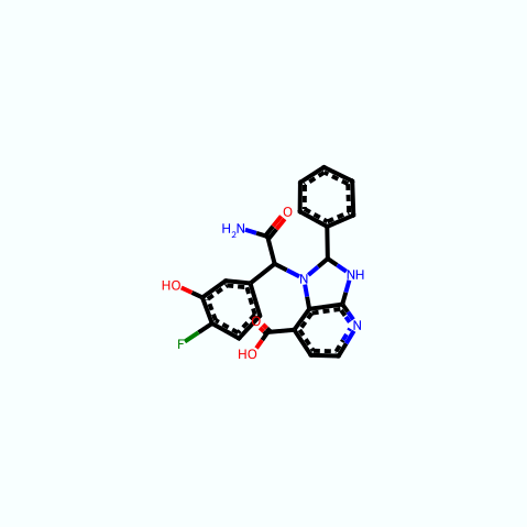 NC(=O)C(c1ccc(F)c(O)c1)N1c2c(C(=O)O)ccnc2NC1c1ccccc1